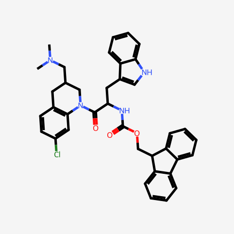 CN(C)CC1Cc2ccc(Cl)cc2N(C(=O)C(Cc2c[nH]c3ccccc23)NC(=O)OCC2c3ccccc3-c3ccccc32)C1